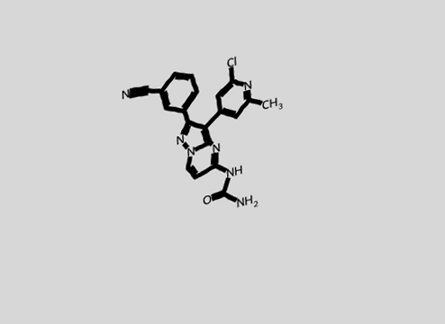 Cc1cc(-c2c(-c3cccc(C#N)c3)nn3ccc(NC(N)=O)nc23)cc(Cl)n1